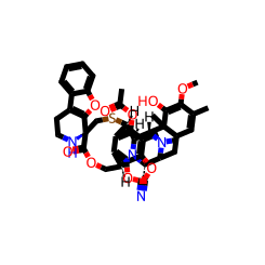 COC1=C(O)C2(C)C(C=C1C)CC1[C@H](C#N)N3[C@@H]([C@@H]4SC[C@]5(NCCc6c5oc5ccccc65)C(=O)OC[C@H]3c3c5c(c(C)c(OC(C)=O)c34)OCO5)[C@H]2N1C